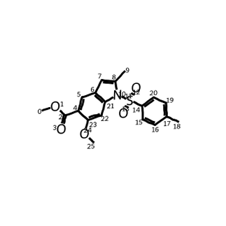 COC(=O)c1cc2cc(C)n(S(=O)(=O)c3ccc(C)cc3)c2cc1OC